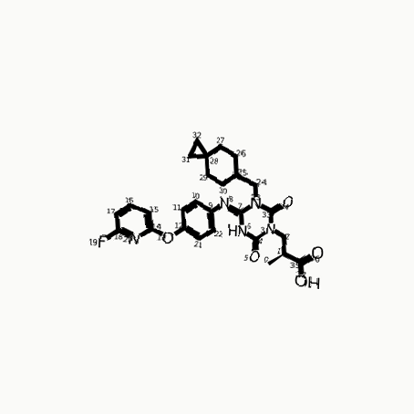 C[C@@H](Cn1c(=O)[nH]/c(=N\c2ccc(Oc3cccc(F)n3)cc2)n(CC2CCC3(CC2)CC3)c1=O)C(=O)O